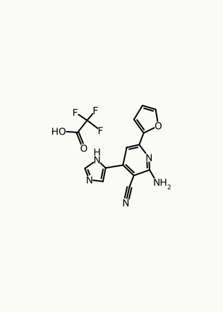 N#Cc1c(-c2cnc[nH]2)cc(-c2ccco2)nc1N.O=C(O)C(F)(F)F